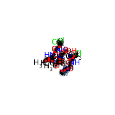 CN(C)C1(Cc2cccc(Cl)c2)CCC(NC(=O)CCC(=O)N2CCN(c3ccccc3F)CC2)CC1.COc1ccc(N2CCN(C(=O)CCCC(=O)O)CC2)c(OC)c1.Cc1cccc(CC2(N(C)C)CCC(NC(=O)CCC(=O)NCCc3ccc(Cl)c(Cl)c3)CC2)c1